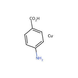 Nc1ccc(C(=O)O)cc1.[Cu]